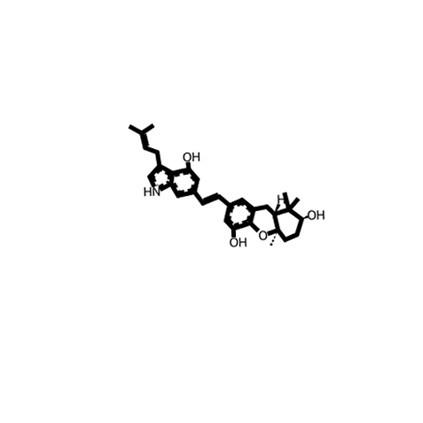 CC(C)=CCc1c[nH]c2cc(/C=C/c3cc(O)c4c(c3)C[C@@H]3C(C)(C)[C@H](O)CC[C@@]3(C)O4)cc(O)c12